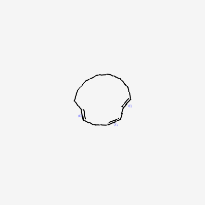 C1=C\C/C=C/CCCCCCC/C=C/1